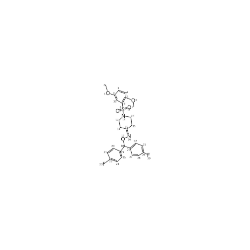 COc1ccc(OC)c(S(=O)(=O)N2CCC(=NOC(c3ccc(F)cc3)c3ccc(F)cc3)CC2)c1